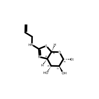 C=CCNC1=N[C@@H]2[C@@H](O)[C@H](O)[C@@H](CC)O[C@@H]2S1